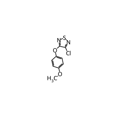 COc1ccc(Oc2nsnc2Cl)cc1